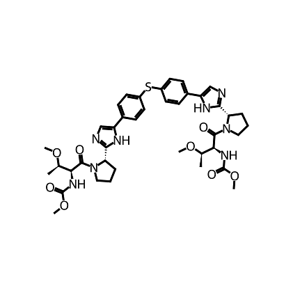 COC(=O)N[C@H](C(=O)N1CCC[C@H]1c1ncc(-c2ccc(Sc3ccc(-c4cnc([C@@H]5CCCN5C(=O)[C@@H](NC(=O)OC)[C@@H](C)OC)[nH]4)cc3)cc2)[nH]1)[C@@H](C)OC